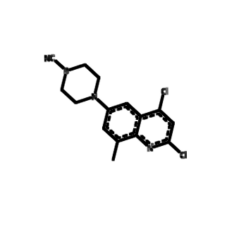 Cc1cc(N2CCB(C#N)CC2)cc2c(Cl)cc(Cl)nc12